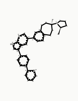 C[C@@H]1CCCN1[C@@]1(C)CCc2ccc(-c3cnc4[nH]cc(-c5ccc(-c6ccccn6)cc5)c4c3)cc2CC1